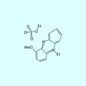 CCOS(=O)(=O)[O-].CC[n+]1c2ccccc2nc2c(OC)cccc21